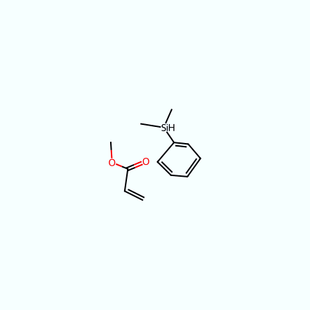 C=CC(=O)OC.C[SiH](C)c1ccccc1